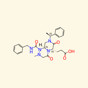 C[C@@H](c1ccccc1)N1C[C@H]2N(C(=O)CN(C)N2C(=O)NCc2ccccc2)[C@@H](CCC(=O)O)C1=O